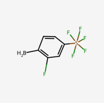 Bc1ccc(S(F)(F)(F)(F)F)cc1F